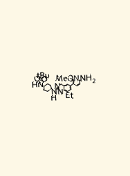 CCc1cc(-c2ccc(N)nc2OC)cc2cnc(N[C@H]3CC[C@H](NC(=O)OC(C)(C)C)CC3)nc12